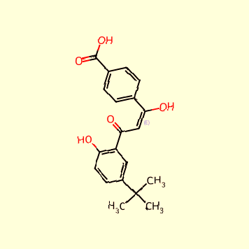 CC(C)(C)c1ccc(O)c(C(=O)/C=C(/O)c2ccc(C(=O)O)cc2)c1